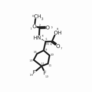 COC(=O)N[C@H](C(=O)O)C1CCC(F)(F)CC1